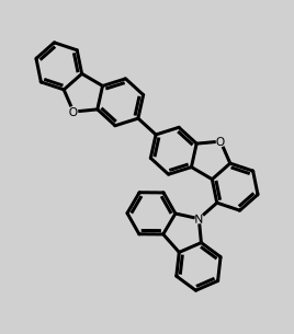 c1ccc2c(c1)oc1cc(-c3ccc4c(c3)oc3cccc(-n5c6ccccc6c6ccccc65)c34)ccc12